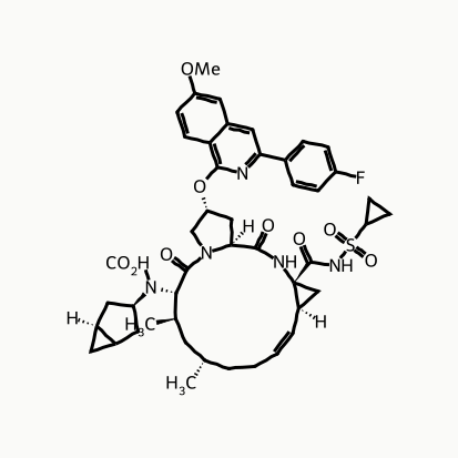 COc1ccc2c(O[C@@H]3C[C@H]4C(=O)N[C@]5(C(=O)NS(=O)(=O)C6CC6)C[C@H]5/C=C\CC[C@H](C)C[C@@H](C)[C@H](N(C(=O)O)[C@H]5CC6C[C@H]6C5)C(=O)N4C3)nc(-c3ccc(F)cc3)cc2c1